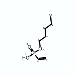 C=CP(=O)(O)OCCCCC